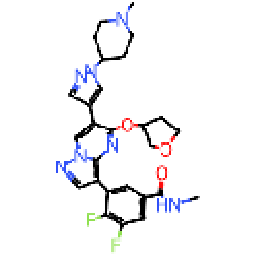 CNC(=O)c1cc(F)c(F)c(-c2cnn3cc(-c4cnn(C5CCN(C)CC5)c4)c(OC4CCOC4)nc23)c1